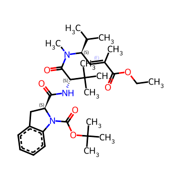 CCOC(=O)/C(C)=C/[C@H](C(C)C)N(C)C(=O)[C@@H](NC(=O)[C@@H]1Cc2ccccc2N1C(=O)OC(C)(C)C)C(C)(C)C